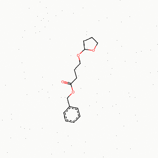 O=C(CCCOC1CCCO1)OCc1ccccc1